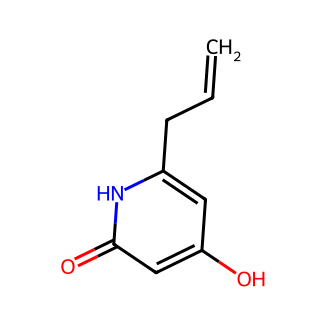 C=CCc1cc(O)cc(=O)[nH]1